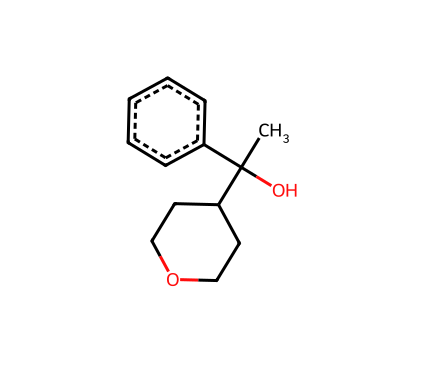 CC(O)(c1ccccc1)C1CCOCC1